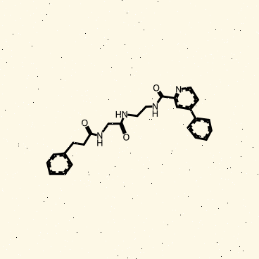 O=C(CCc1ccccc1)NCC(=O)NCCNC(=O)c1cc(-c2ccccc2)ccn1